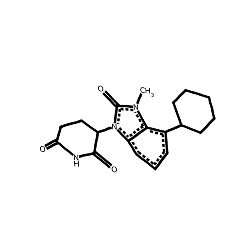 Cn1c(=O)n(C2CCC(=O)NC2=O)c2cccc(C3CCCCC3)c21